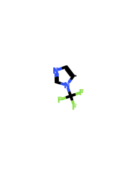 FC(F)(F)n1[c]cnc1